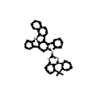 CC1(C)c2ccccc2-c2nc(-n3c4ccccc4c4c5c6ccc7ccccc7c6n6c7ccccc7c(cc43)c56)nc3cccc1c23